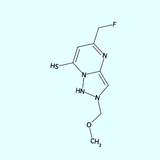 COCN1C=C2N=C(CF)C=C(S)N2N1